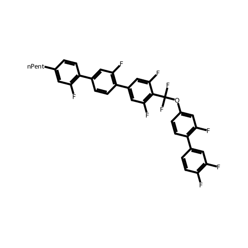 CCCCCc1ccc(-c2ccc(-c3cc(F)c(C(F)(F)Oc4ccc(-c5ccc(F)c(F)c5)c(F)c4)c(F)c3)c(F)c2)c(F)c1